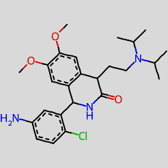 COc1cc2c(cc1OC)C(c1cc(N)ccc1Cl)NC(=O)C2CCN(C(C)C)C(C)C